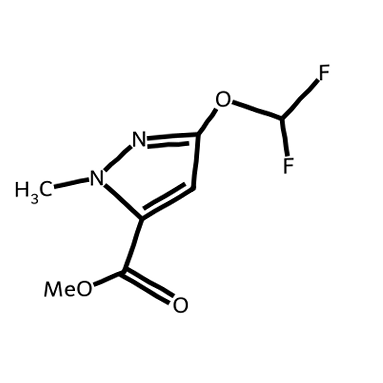 COC(=O)c1cc(OC(F)F)nn1C